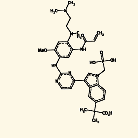 C=CC(=O)Nc1cc(Nc2nccc(-c3cn(CP(=O)(O)O)c4ccc(C(C)(C)C(=O)O)cc34)n2)c(OC)cc1N(C)CCN(C)C